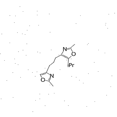 Cc1nc(CCCc2nc(C)oc2C(C)C)co1